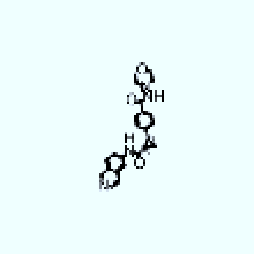 O=C(NN1CCOCC1)c1ccc([C@@H]2C[C@H]2C(=O)Nc2ccc3cnccc3c2)cc1